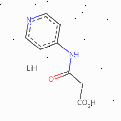 O=C(O)CC(=O)Nc1ccncc1.[LiH]